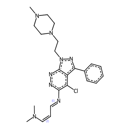 CN(C)/C=C\C=N\c1nnc2c(c(-c3ccccc3)nn2CCN2CCN(C)CC2)c1Cl